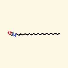 CCCCCCCCCCCCCCCCCCC=CCN=C=O